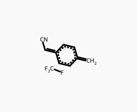 C=c1ccc(=CC#N)cc1.FC(F)(F)F